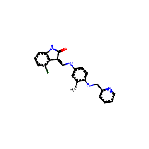 Cc1cc(NC=C2C(=O)Nc3cccc(F)c32)ccc1NCc1ccccn1